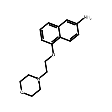 Nc1ccc2c(OCCN3CCOCC3)cccc2c1